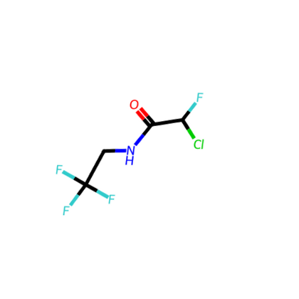 O=C(NCC(F)(F)F)C(F)Cl